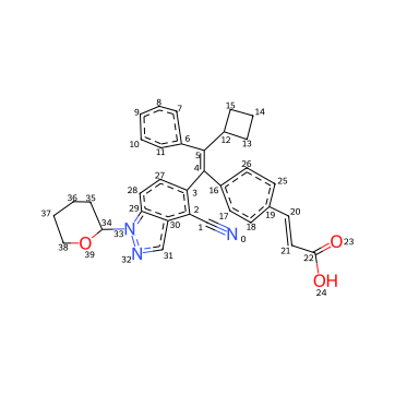 N#Cc1c(C(=C(c2ccccc2)C2CCC2)c2ccc(C=CC(=O)O)cc2)ccc2c1cnn2C1CCCCO1